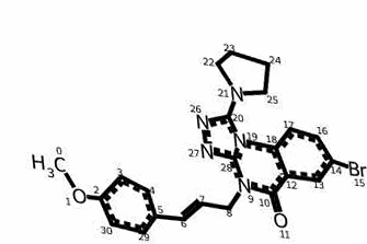 COc1ccc(C=CCn2c(=O)c3cc(Br)ccc3n3c(N4CCCC4)nnc23)cc1